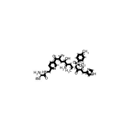 CC[C@H](C)[C@H](N)C(=O)NCc1ccc(C(=O)C(CC(O)C(N)CC(C)[C@@H](C(=O)[C@@H](N)Cc2c[nH]cn2)S(=O)(=O)c2ccc(C)cc2)C(C)C)cn1